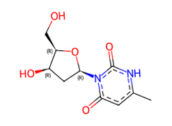 Cc1cc(=O)n([C@H]2C[C@@H](O)[C@@H](CO)O2)c(=O)[nH]1